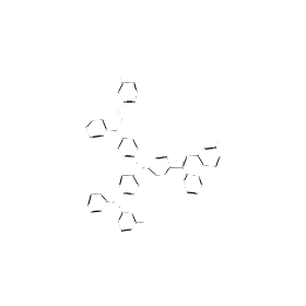 Cc1cccc(/C=C(\c2ccccc2)c2ccc(N(c3ccc(C(CCc4cccc(C)c4)c4ccccc4)cc3)c3ccc(N(c4ccccc4)c4cccc(C)c4)cc3)cc2)c1